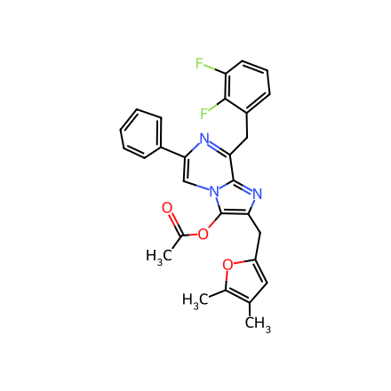 CC(=O)Oc1c(Cc2cc(C)c(C)o2)nc2c(Cc3cccc(F)c3F)nc(-c3ccccc3)cn12